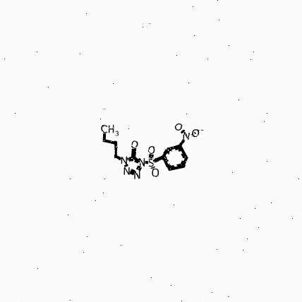 CCCCn1nnn(S(=O)(=O)c2cccc([N+](=O)[O-])c2)c1=O